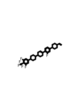 C=CC1CCC(c2ccc(C3=CCC(C4CCC(c5cc(F)c(C(F)(F)F)c(F)c5)CC4)CC3)c(F)c2)CC1